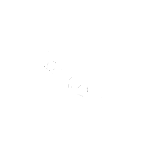 CCSCc1nnc(SCC(=O)Nc2ccc(C)cc2)n1CC